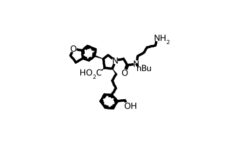 CCCCN(CCCCN)C(=O)CN1C[C@H](c2ccc3c(c2)CCO3)[C@@H](C(=O)O)[C@@H]1CCCc1ccccc1CO